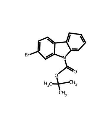 CC(C)(C)OC(=O)n1c2ccccc2c2ccc(Br)cc21